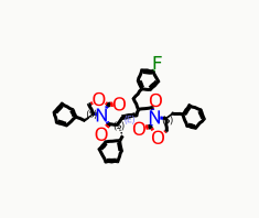 O=C1OC[C@H](Cc2ccccc2)N1C(=O)C(/C=C/[C@H](Cc1ccccc1)C(=O)N1C(=O)OC[C@@H]1Cc1ccccc1)Cc1ccc(F)cc1